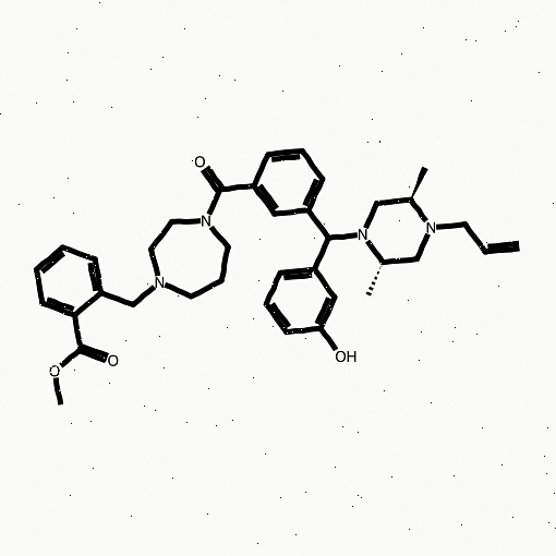 C=CCN1C[C@H](C)N(C(c2cccc(O)c2)c2cccc(C(=O)N3CCCN(Cc4ccccc4C(=O)OC)CC3)c2)C[C@H]1C